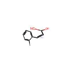 Cc1ccccc1/C=C\C(O)O